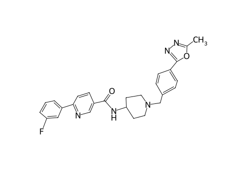 Cc1nnc(-c2ccc(CN3CCC(NC(=O)c4ccc(-c5cccc(F)c5)nc4)CC3)cc2)o1